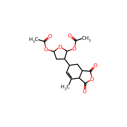 CC(=O)OC1CC(C2C=C(C)C3C(=O)OC(=O)C3C2)C(OC(C)=O)O1